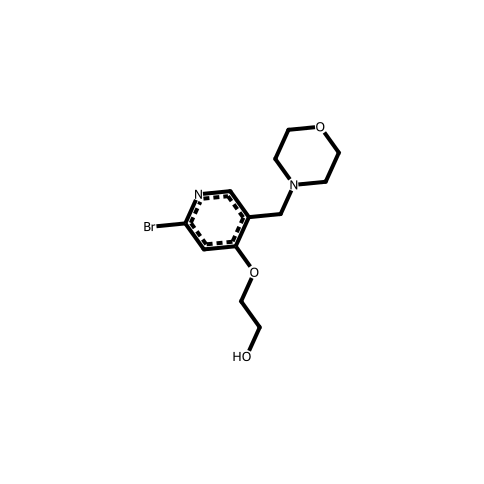 OCCOc1cc(Br)ncc1CN1CCOCC1